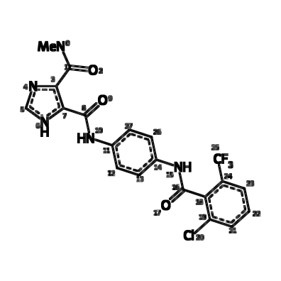 CNC(=O)c1nc[nH]c1C(=O)Nc1ccc(NC(=O)c2c(Cl)cccc2C(F)(F)F)cc1